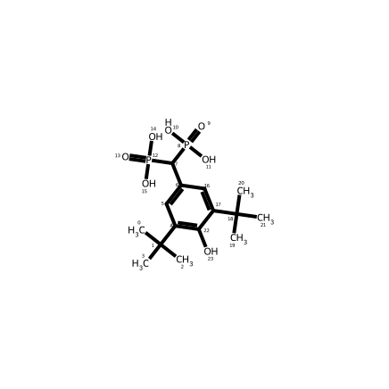 CC(C)(C)c1cc(C(P(=O)(O)O)P(=O)(O)O)cc(C(C)(C)C)c1O